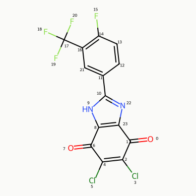 O=C1C(Cl)=C(Cl)C(=O)c2[nH]c(-c3ccc(F)c(C(F)(F)F)c3)nc21